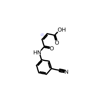 N#Cc1cccc(NC(=O)/C=C\C(=O)O)c1